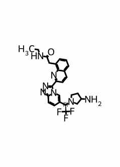 CCNC(=O)Cc1cccc2ccc(-c3nnc4ccc([C@@H](N5CCC(N)C5)C(F)(F)F)cn34)nc12